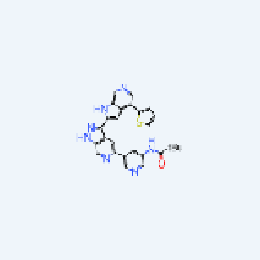 CC(C)(C)C(=O)Nc1cncc(-c2cc3c(-c4cc5c(-c6cccs6)cncc5[nH]4)n[nH]c3cn2)c1